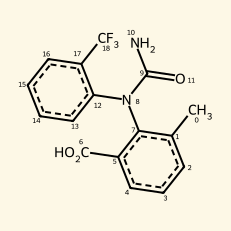 Cc1cccc(C(=O)O)c1N(C(N)=O)c1ccccc1C(F)(F)F